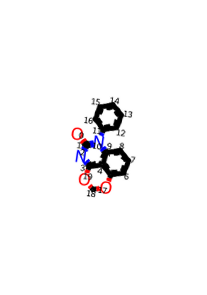 O=c1nc2c3c(cccc3n1-c1ccccc1)OCO2